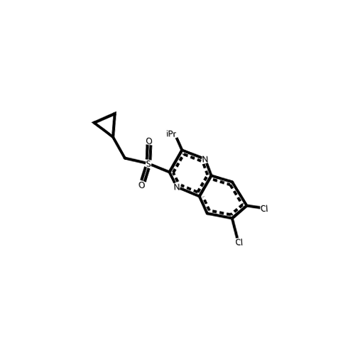 CC(C)c1nc2cc(Cl)c(Cl)cc2nc1S(=O)(=O)CC1CC1